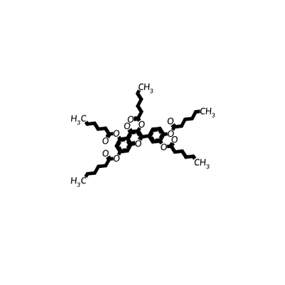 CCCCCC(=O)Oc1cc(OC(=O)CCCCC)c2c(=O)c(OC(=O)CCCCC)c(-c3ccc(OC(=O)CCCCC)c(OC(=O)CCCCC)c3)oc2c1